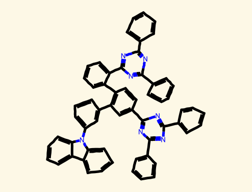 c1ccc(-c2nc(-c3ccccc3)nc(-c3ccc(-c4ccccc4-c4nc(-c5ccccc5)nc(-c5ccccc5)n4)c(-c4cccc(-n5c6ccccc6c6ccccc65)c4)c3)n2)cc1